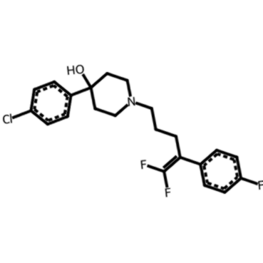 OC1(c2ccc(Cl)cc2)CCN(CCCC(=C(F)F)c2ccc(F)cc2)CC1